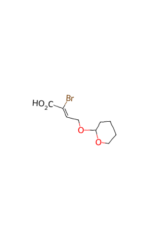 O=C(O)/C(Br)=C/COC1CCCCO1